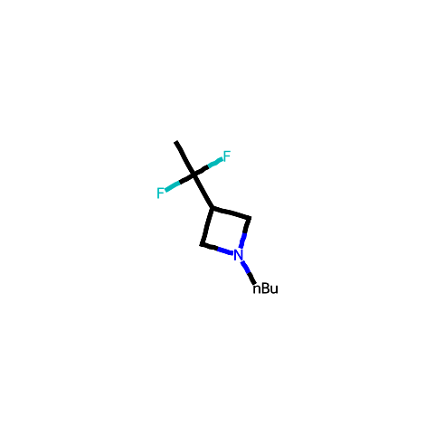 CCCCN1CC(C(C)(F)F)C1